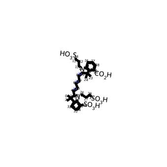 CC1(C)C(/C=C/C=C/C=C2/N(CCCS(=O)(=O)O)c3cccc(C(=O)O)c3C2(C)C)=[N+](CCCS(=O)(=O)O)c2c1cccc2S(=O)(=O)O